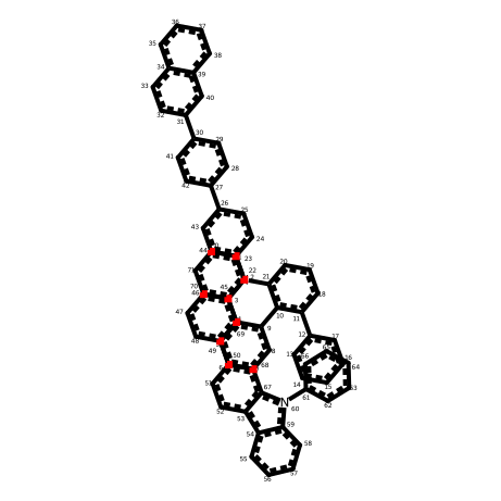 c1ccc(-c2ccccc2-c2c(-c3ccccc3)cccc2N(c2ccc(-c3ccc(-c4ccc5ccccc5c4)cc3)cc2)c2cccc(-c3ccc4c5ccccc5n(-c5ccccc5)c4c3)c2)cc1